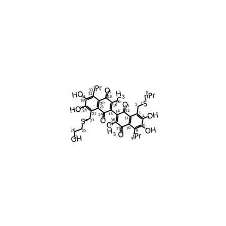 CCCSCc1c(O)c(O)c(C(C)C)c2c1C(=O)C(C1=C(C)C(=O)c3c(c(CSCCO)c(O)c(O)c3C(C)C)C1=O)=C(C)C2=O